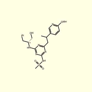 COc1ccc(C(C)Cc2nc(N[C@@H](CO)CC(C)C)nc(NS(C)(=O)=O)n2)cn1